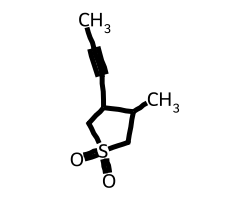 CC#CC1CS(=O)(=O)CC1C